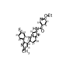 CCOc1ccc(C(=O)Nc2cn3nc(-c4cn(C)nc4-c4ccc(F)cc4)ccc3n2)cn1